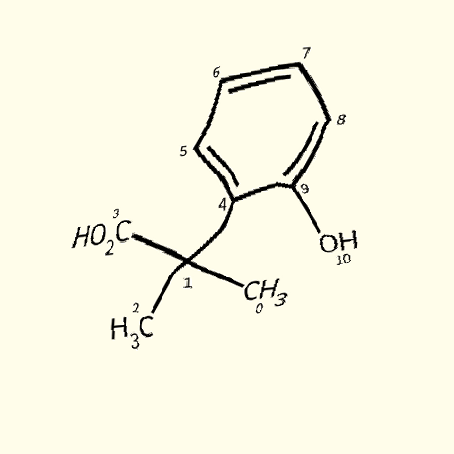 CC(C)(C(=O)O)c1ccccc1O